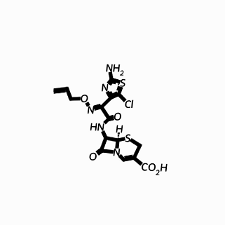 C=CCON=C(C(=O)NC1C(=O)N2C=C(C(=O)O)CS[C@H]12)c1nc(N)sc1Cl